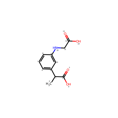 CC(C(=O)O)c1cccc(NCC(=O)O)c1